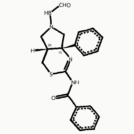 O=CBN1C[C@H]2CSC(NC(=O)c3ccccc3)=N[C@@]2(c2ccccc2)C1